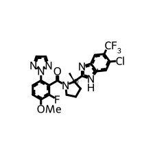 COc1ccc(-n2nccn2)c(C(=O)N2CCC[C@@]2(C)c2nc3cc(C(F)(F)F)c(Cl)cc3[nH]2)c1F